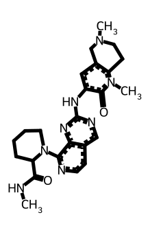 CNC(=O)C1CCCCN1c1nccc2cnc(Nc3cc4c(n(C)c3=O)CCN(C)C4)nc12